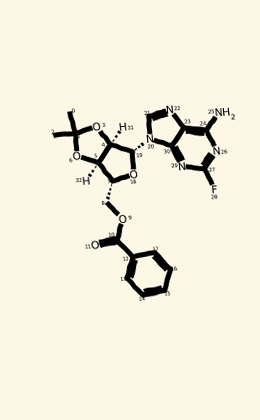 CC1(C)O[C@@H]2[C@H](O1)[C@@H](COC(=O)c1ccccc1)O[C@H]2n1cnc2c(N)nc(F)nc21